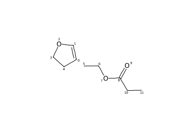 C1=COCC1.CCOC(=O)CC